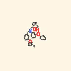 O[C@H](CN(Cc1cccc(OC(F)(F)F)c1)c1cccc(Oc2ccccc2)c1)C(F)(F)F